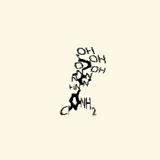 Nc1cc(Cl)ccc1CNc1ncnc2c1ncn2[C@@H]1O[C@H](CO)[C@@H](O)[C@H]1O